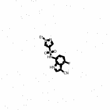 CCn1cc(S(=O)(=O)Nc2ccc(F)c3c(C#N)c[nH]c23)cn1